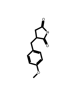 COc1ccc(CC2CC(=O)[N]C2=O)cc1